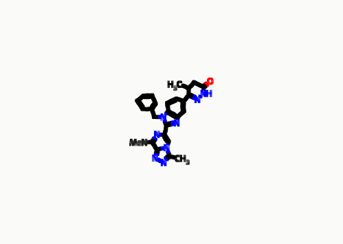 CNc1nc(-c2nc3cc(C4=NNC(=O)CC4C)ccc3n2Cc2ccccc2)cn2c(C)nnc12